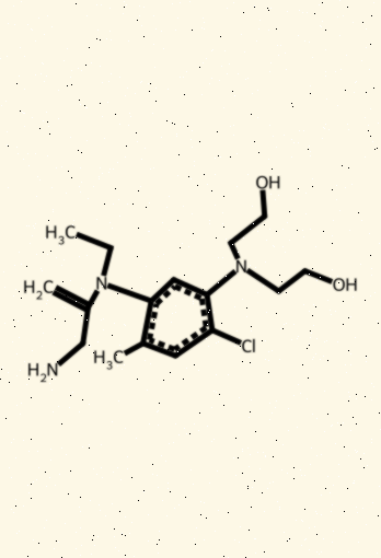 C=C(CN)N(CC)c1cc(N(CCO)CCO)c(Cl)cc1C